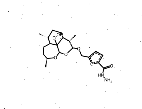 C[C@H]1C(OCc2ccc(C(=O)NN)o2)OC2O[C@@H](C)CCC3[C@H](C)CCC1C23OO